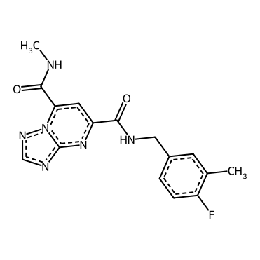 CNC(=O)c1cc(C(=O)NCc2ccc(F)c(C)c2)nc2ncnn12